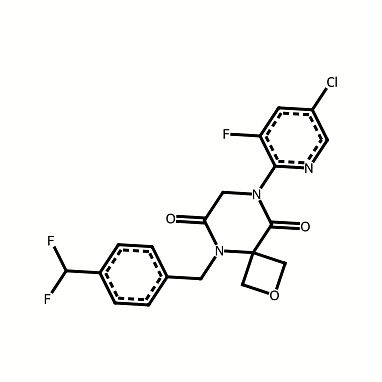 O=C1CN(c2ncc(Cl)cc2F)C(=O)C2(COC2)N1Cc1ccc(C(F)F)cc1